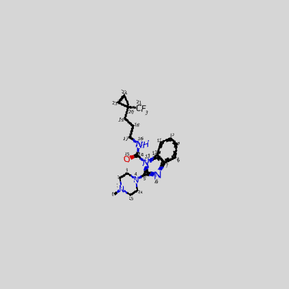 CN1CCN(c2nc3ccccc3n2C(=O)NCCCC2(C(F)(F)F)CC2)CC1